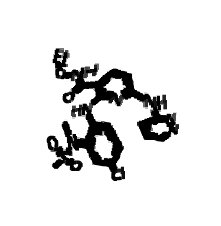 CCONC(=O)c1ccc(Nc2cccnn2)nc1Nc1ccc(Cl)cc1N(C)S(C)(=O)=O